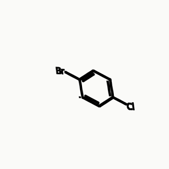 Clc1c[c]c(Br)cc1